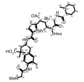 CCCCCCN(C(=O)[C@@H](NC(=O)[C@H]1CCCCN1C)[C@@H](C)CC)[C@H](C[C@@H](OC(C)=O)c1nc(C(=O)N[C@@H](Cc2ccc(NC(=O)CNC)c(F)c2)CC(C)(C)C(=O)O)cs1)C(C)C